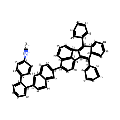 [C-]#[N+]c1ccc(-c2ccccc2-c2ccc3cc(-c4ccc5c6c(cccc46)-c4c-5c(-c5ccccc5)c5ccccc5c4-c4ccccc4)ccc3c2)cc1